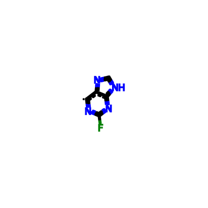 Fc1n[c]c2nc[nH]c2n1